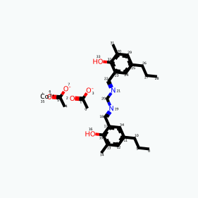 CC(=O)[O-].CC(=O)[O-].CCCc1cc(C)c(O)c(C=NCN=Cc2cc(CCC)cc(C)c2O)c1.[Co+2]